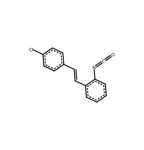 O=C=Nc1ccccc1C=Cc1ccc(Cl)cc1